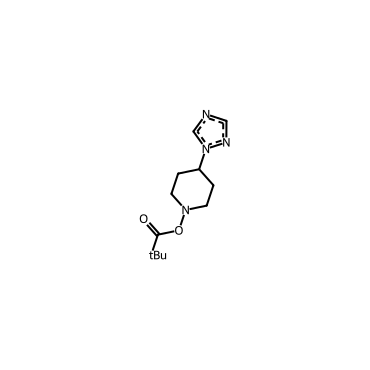 CC(C)(C)C(=O)ON1CCC(n2cncn2)CC1